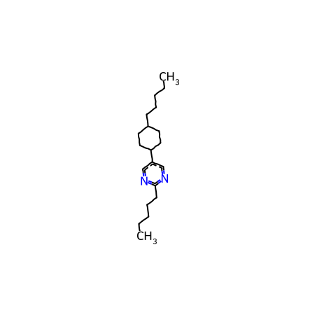 CCCCCc1ncc(C2CCC(CCCCC)CC2)cn1